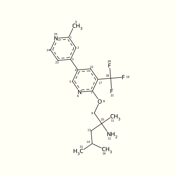 Cc1cc(-c2cnc(OCC(C)(N)CC(C)C)c(C(F)(F)F)c2)ccn1